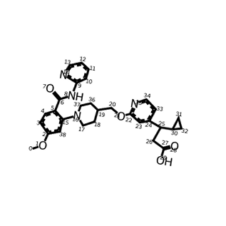 COc1ccc(C(=O)Nc2ccccn2)c(N2CCC(COc3cc(C(CC(=O)O)C4CC4)ccn3)CC2)c1